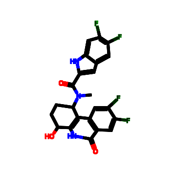 CN(C(=O)c1cc2cc(F)c(F)cc2[nH]1)C1CCC(O)c2[nH]c(=O)c3cc(F)c(F)cc3c21